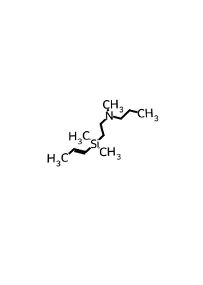 CC=C[Si](C)(C)CCN(C)CCC